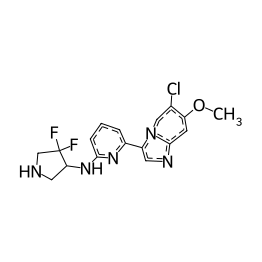 COc1cc2ncc(-c3cccc(NC4CNCC4(F)F)n3)n2cc1Cl